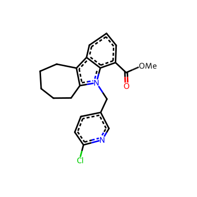 COC(=O)c1cccc2c3c(n(Cc4ccc(Cl)nc4)c12)CCCCC3